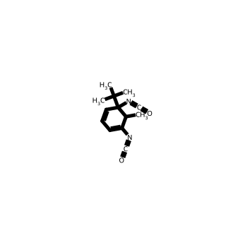 CC1C(N=C=O)=CC=CC1(N=C=O)C(C)(C)C